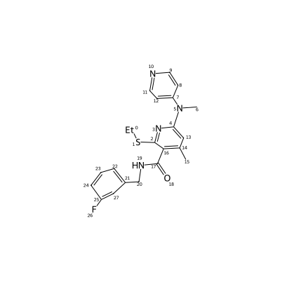 CCSc1nc(N(C)c2ccncc2)cc(C)c1C(=O)NCc1cccc(F)c1